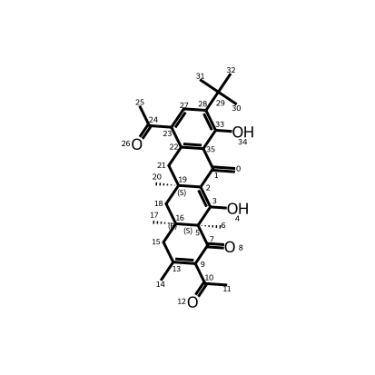 C=C1C2=C(O)[C@@]3(C)C(=O)C(C(C)=O)=C(C)C[C@@]3(C)C[C@@]2(C)Cc2c(C(C)=O)cc(C(C)(C)C)c(O)c21